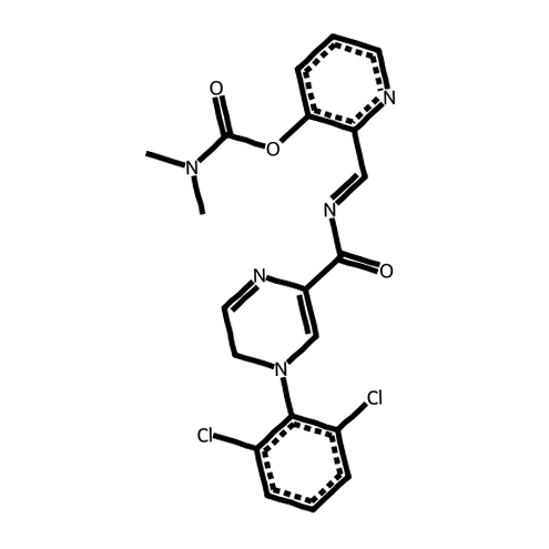 CN(C)C(=O)Oc1cccnc1C=NC(=O)C1=CN(c2c(Cl)cccc2Cl)CC=N1